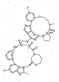 Cc1nc2cc(F)cc3c2n1C[C@@H]1CN(CCCO1)C(=O)[C@@H]1C[C@@H](CN1c1nc2nc4c1cnn4-c1ccc(F)cc1OCCN(C)C(=O)[C@@H]1CCCN21)Nc1cccc-3n1